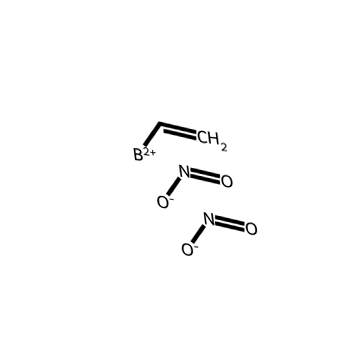 O=N[O-].O=N[O-].[B+2]C=C